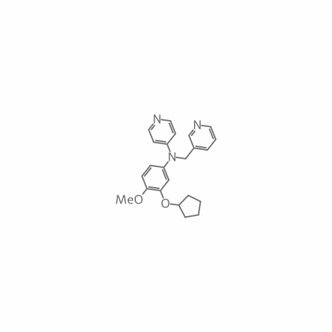 COc1ccc(N(Cc2cccnc2)c2ccncc2)cc1OC1CCCC1